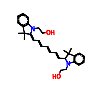 CC1(C)/C(=C/C=C/C=C/C=C/C2N(CCO)c3ccccc3C2(C)C)N(CCO)c2ccccc21